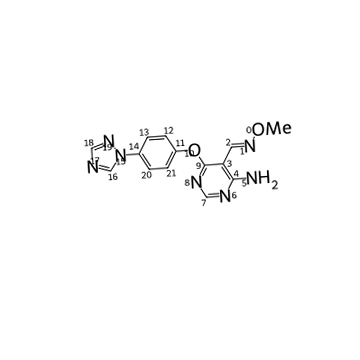 CON=Cc1c(N)ncnc1Oc1ccc(-n2cncn2)cc1